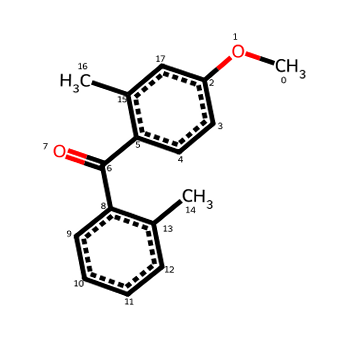 COc1ccc(C(=O)c2ccccc2C)c(C)c1